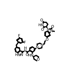 Cn1c(=O)n(C2CCC(=O)NC2=O)c2ccc(OCCN3CCN(c4ccc(C(=O)Nc5n[nH]c6ccc(Cc7cc(F)cc(F)c7)cc56)c(NC5CCOCC5)c4)CC3)cc21